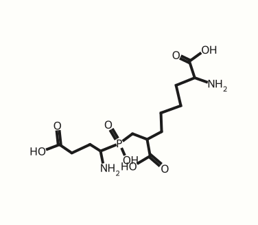 NC(CCCCC(CP(=O)(O)C(N)CCC(=O)O)C(=O)O)C(=O)O